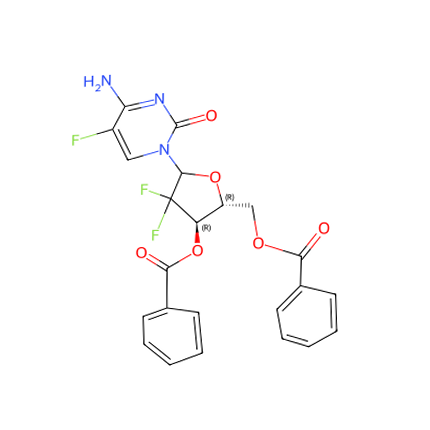 Nc1nc(=O)n(C2O[C@H](COC(=O)c3ccccc3)[C@@H](OC(=O)c3ccccc3)C2(F)F)cc1F